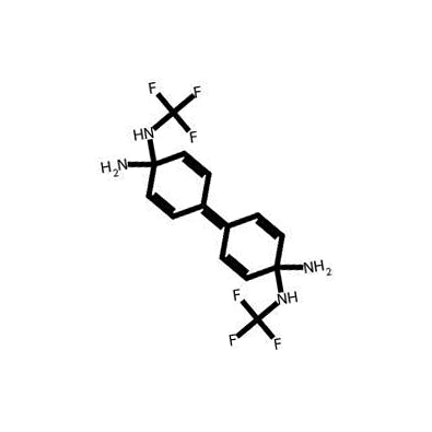 NC1(NC(F)(F)F)C=CC(=C2C=CC(N)(NC(F)(F)F)C=C2)C=C1